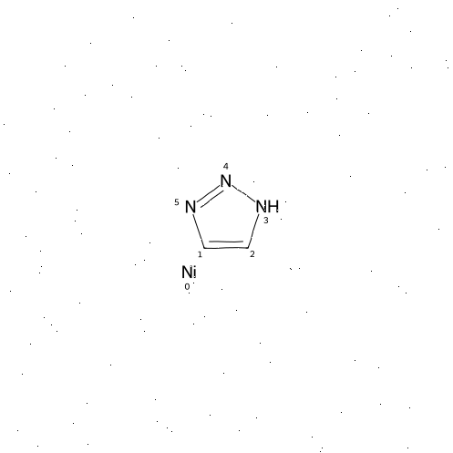 [Ni].c1c[nH]nn1